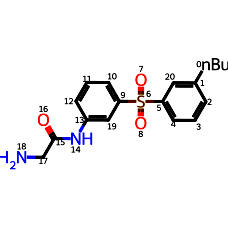 CCCCc1cccc(S(=O)(=O)c2cccc(NC(=O)CN)c2)c1